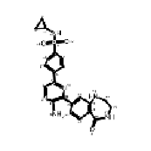 Nc1ncc(-c2ccc(S(=O)(=O)NC3CC3)cc2)nc1-c1ccc2c(c1)NCCNC2=O